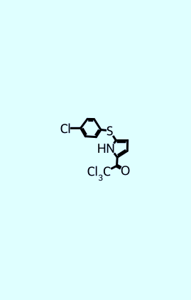 O=C(c1ccc(Sc2ccc(Cl)cc2)[nH]1)C(Cl)(Cl)Cl